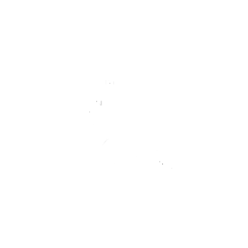 Cc1ccc(C(=O)NCC(C)(C)C)cc1-c1ccc(C(N)=O)cc1